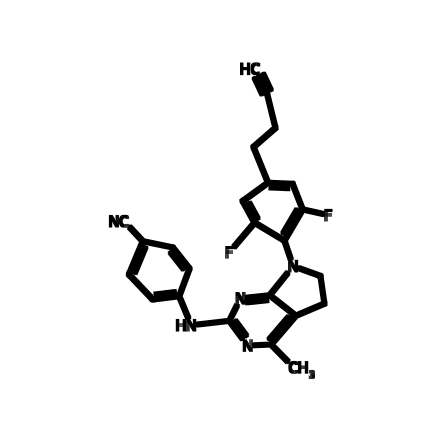 C#CCCc1cc(F)c(N2CCc3c(C)nc(Nc4ccc(C#N)cc4)nc32)c(F)c1